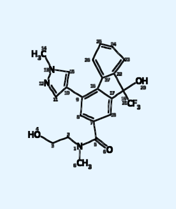 CN(CCO)C(=O)c1cc(-c2cnn(C)c2)c2c(c1)C(O)(C(F)(F)F)c1ccccc1-2